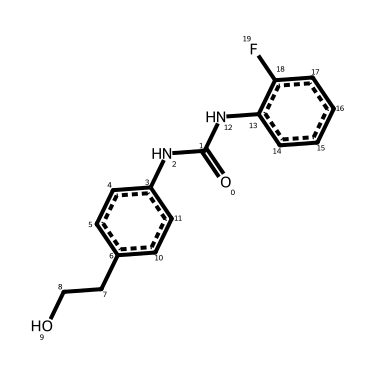 O=C(Nc1ccc(CCO)cc1)Nc1ccccc1F